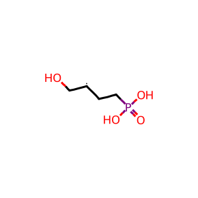 O=P(O)(O)CC[CH]CO